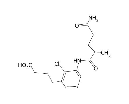 CC(CCC(N)=O)C(=O)Nc1cccc(CCCC(=O)O)c1Cl